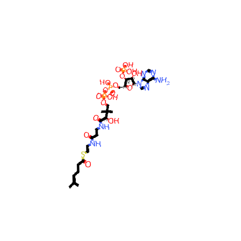 CC(C)=CCCC(=O)SCCNC(=O)CCNC(=O)[C@H](O)C(C)(C)COP(=O)(O)OP(=O)(O)OC[C@H]1O[C@@H](n2cnc3c(N)ncnc32)[C@H](O)[C@@H]1OP(=O)(O)O